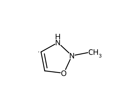 CN1N[C]=CO1